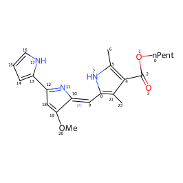 CCCCCOC(=O)c1c(C)[nH]c(/C=C2\N=C(c3ccc[nH]3)C=C2OC)c1C